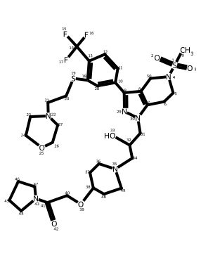 CS(=O)(=O)N1CCc2c(c(-c3ccc(C(F)(F)F)c(SCCN4CCOCC4)c3)nn2CC(O)CN2CCC(OCC(=O)N3CCCC3)CC2)C1